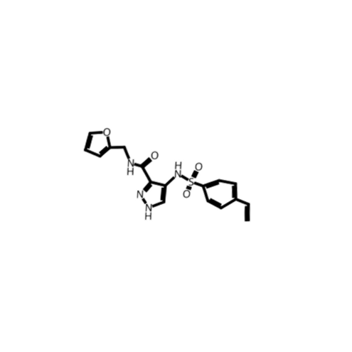 C=Cc1ccc(S(=O)(=O)Nc2c[nH]nc2C(=O)NCc2ccco2)cc1